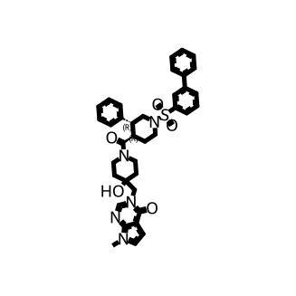 Cn1ccc2c(=O)n(CC3(O)CCN(C(=O)[C@@H]4CCN(S(=O)(=O)c5cccc(-c6ccccc6)c5)C[C@H]4c4ccccc4)CC3)cnc21